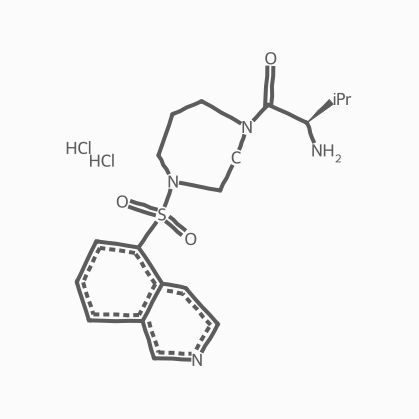 CC(C)[C@@H](N)C(=O)N1CCCN(S(=O)(=O)c2cccc3cnccc23)CC1.Cl.Cl